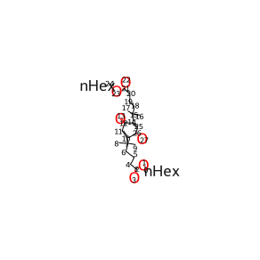 CCCCCCOC(=O)CCCC(C)(C)C1=CC(=O)C(C(C)(C)CCCC(=O)OCCCCCC)=CC1=O